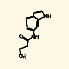 O=C(CCO)Nc1ccc2cc[nH]c2c1